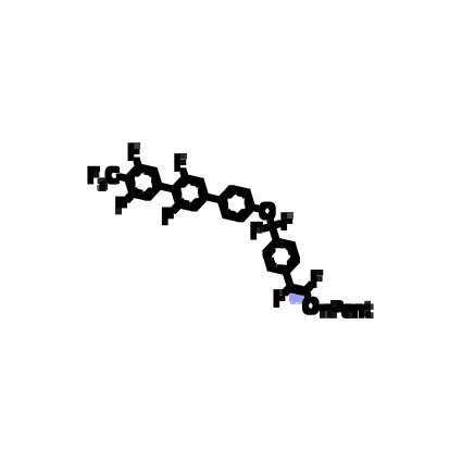 CCCCCO/C(F)=C(\F)c1ccc(C(F)(F)Oc2ccc(-c3cc(F)c(-c4cc(F)c(C(F)(F)F)c(F)c4)c(F)c3)cc2)cc1